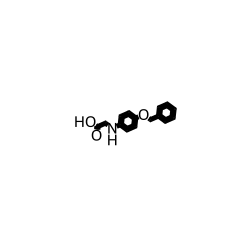 O=C(O)CNc1ccc(OCc2ccccc2)cc1